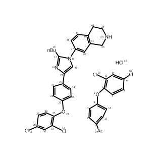 CC(=O)c1ccc(Oc2ccc(Cl)cc2Cl)cc1.CCCCc1nc(-c2ccc(Oc3ccc(Cl)cc3Cl)cc2)cn1-c1ccc2c(c1)CNCC2.Cl